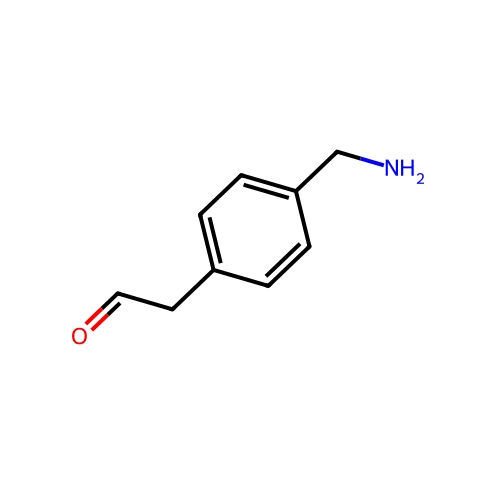 NCc1ccc(CC=O)cc1